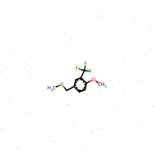 COc1ccc(CSC)cc1C(F)(F)F